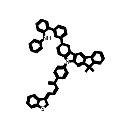 C=C(/C=C\C=C1/CSc2ccccc21)c1ccc(-n2c3c(c4cc5c(cc42)C(C)(C)c2ccccc2-5)CC(c2cccc(-c4ccccc4Nc4ccccc4)c2)C=C3)cc1